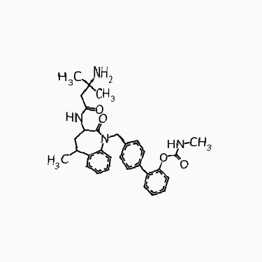 CNC(=O)Oc1ccccc1-c1ccc(CN2C(=O)C(NC(=O)CC(C)(C)N)CC(C)c3ccccc32)cc1